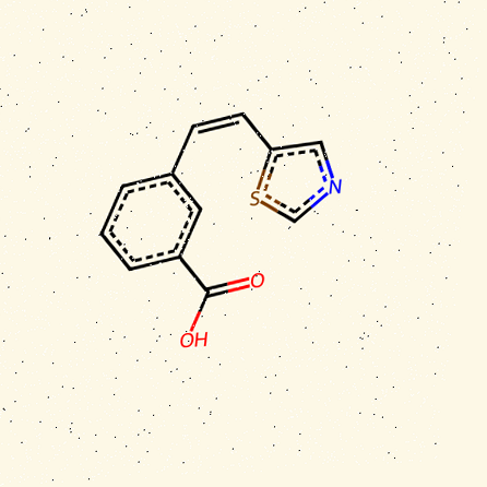 O=C(O)c1cccc(/C=C\c2cncs2)c1